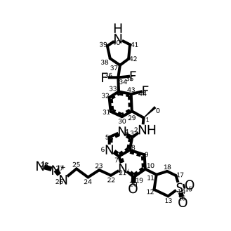 C[C@@H](Nc1ncnc2c1cc(C1CCS(=O)(=O)CC1)c(=O)n2CCCCN=[N+]=[N-])c1cccc(C(F)(F)C2CCNCC2)c1F